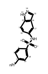 CCCc1ccc(S(=O)(=O)Nc2ccc3[nH]ncc3c2)cc1